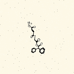 COC(=O)/C=C/C(=O)OCC(=O)OC(=O)C(c1ccccc1)c1ccccc1